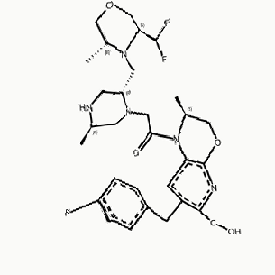 C[C@@H]1CN(CC(=O)N2c3cc(Cc4ccc(F)cc4)c(CO)nc3OC[C@@H]2C)[C@@H](CN2[C@H](C)COC[C@H]2C(F)F)CN1